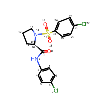 O=C(Nc1ccc(Cl)cc1)[C@H]1CCCN1S(=O)(=O)c1ccc(Cl)cc1